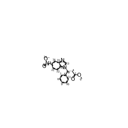 COC(=O)C[C@H](c1ccccc1)n1cnc2cc([N+](=O)[O-])ccc21